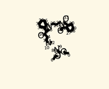 CCOC(OCC)N(C)C.CN(C)C=CC(=O)c1cn(CCCN2C(=O)c3ccccc3C2=O)c2ccccc12